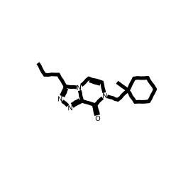 CCCc1nnc2c(=O)n(CC3(C)CCCCC3)ccn12